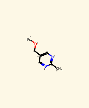 Cc1ncc(COC(C)C)cn1